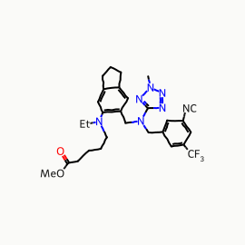 [C-]#[N+]c1cc(CN(Cc2cc3c(cc2N(CC)CCCCC(=O)OC)CCC3)c2nnn(C)n2)cc(C(F)(F)F)c1